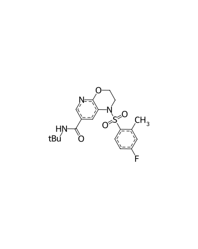 Cc1cc(F)ccc1S(=O)(=O)N1CCOc2ncc(C(=O)NC(C)(C)C)cc21